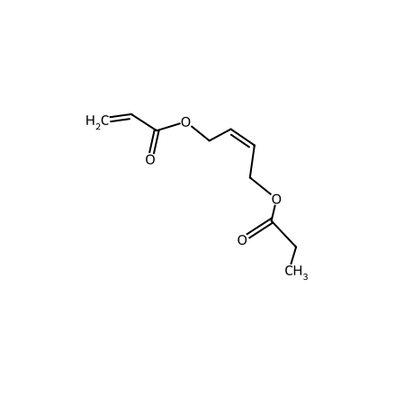 C=CC(=O)OC/C=C\COC(=O)CC